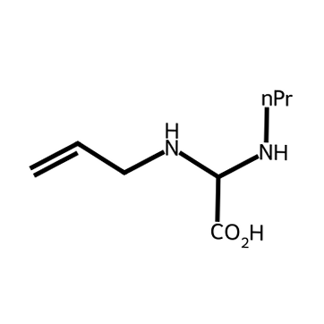 C=CCNC(NCCC)C(=O)O